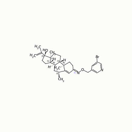 C=C(C)[C@@]1(O)CC[C@H]2[C@@H]3C[C@H](C)C4=C/C(=N/OCc5cncc(Br)c5)CC[C@]4(C)[C@H]3CC[C@@]21C